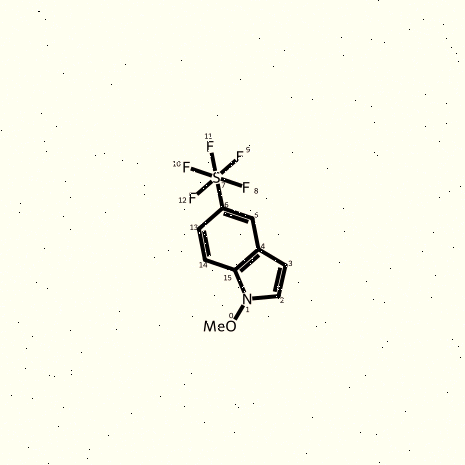 COn1ccc2cc(S(F)(F)(F)(F)F)ccc21